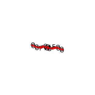 C=CC(=O)OCCCCOC(=O)CCc1ccc(-c2ccc(CCC(=O)O[C@H]3CO[C@H]4[C@@H]3OC[C@H]4OC(=O)CCc3ccc(-c4ccc(CCC(=O)OCCCCOC(=O)C=C)cc4F)cc3)cc2)c(F)c1